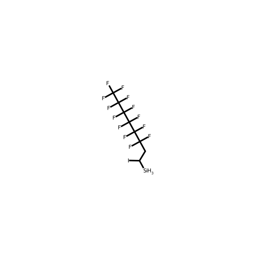 FC(F)(F)C(F)(F)C(F)(F)C(F)(F)C(F)(F)C(F)(F)CC([SiH3])I